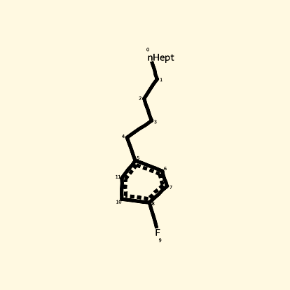 [CH2]CCCCCCCCCCc1ccc(F)cc1